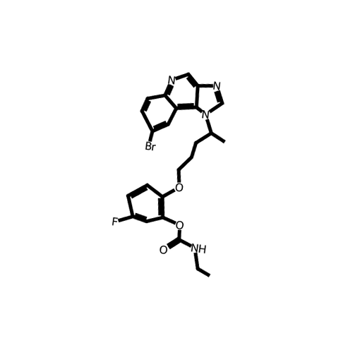 CCNC(=O)Oc1cc(F)ccc1OCCCC(C)n1cnc2cnc3ccc(Br)cc3c21